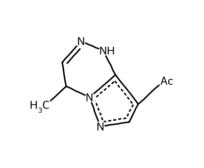 CC(=O)c1cnn2c1NN=CC2C